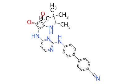 CC(Nc1c(Nc2ccnc(Nc3ccc(-c4ccc(C#N)cc4)cc3)n2)c(=O)c1=O)C(C)(C)C